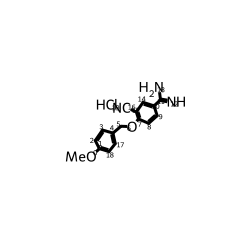 COc1ccc(COc2ccc(C(=N)N)cc2C#N)cc1.Cl